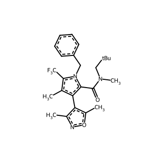 Cc1noc(C)c1-c1c(C)c(C(F)(F)F)n(Cc2ccccc2)c1C(=O)N(C)CC(C)(C)C